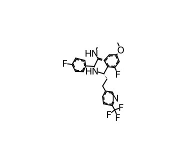 C=C(NC)[C@H](N[C@@H](CCc1ccc(C(F)(F)F)nc1)c1ccc(OC)cc1F)c1ccc(F)cc1